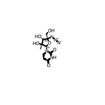 C[C@]1(O)[C@H](n2ccc(=O)[nH]c2=O)O[C@@](CO)(N=[N+]=[N-])[C@H]1O